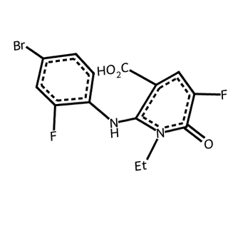 CCn1c(Nc2ccc(Br)cc2F)c(C(=O)O)cc(F)c1=O